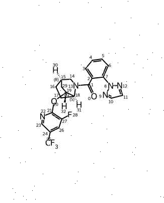 O=C(c1ccccc1-n1nccn1)N1C[C@@H]2CC[C@H]1[C@H](Oc1ncc(C(F)(F)F)cc1F)C2